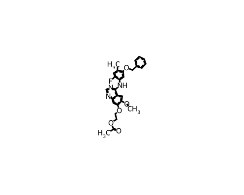 COc1cc2c(Nc3cc(OCc4ccccc4)c(C)cc3F)ncnc2cc1OCCOC(C)=O